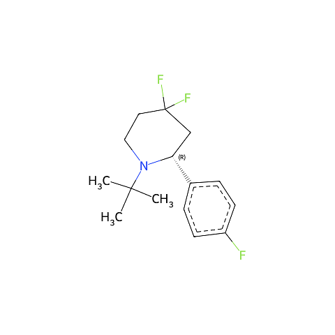 CC(C)(C)N1CCC(F)(F)C[C@@H]1c1ccc(F)cc1